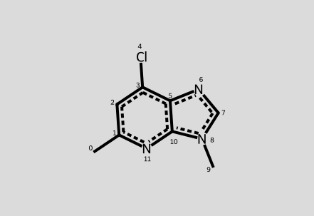 Cc1cc(Cl)c2ncn(C)c2n1